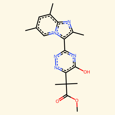 COC(=O)C(C)(C)c1nnc(-c2c(C)nc3c(C)cc(C)cn23)nc1O